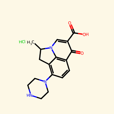 CC1Cc2c(N3CCNCC3)ccc3c(=O)c(C(=O)O)cn1c23.Cl